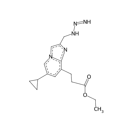 CCOC(=O)CCc1cc(C2CC2)cn2cc(CNN=N)nc12